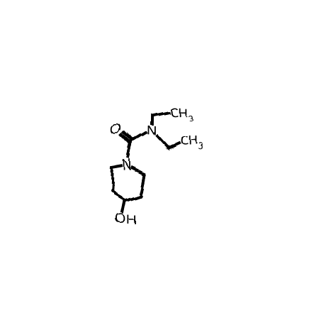 CCN(CC)C(=O)N1CCC(O)CC1